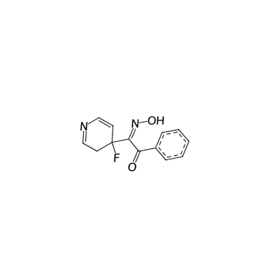 O=C(C(=NO)C1(F)C=CN=CC1)c1ccccc1